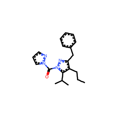 CCCc1c(Cc2ccccc2)nn(C(=O)n2cccn2)c1C(C)C